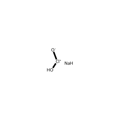 [NaH].[O-][Cl+]O